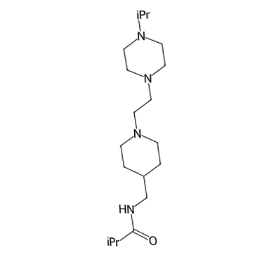 CC(C)C(=O)NCC1CCN(CCN2CCN(C(C)C)CC2)CC1